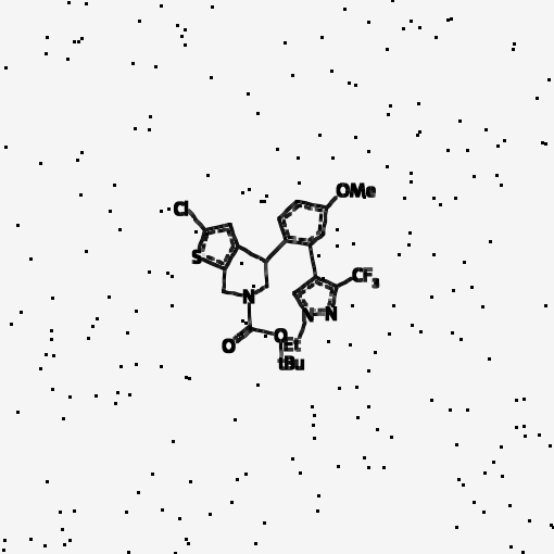 CCn1cc(-c2cc(OC)ccc2C2CN(C(=O)OC(C)(C)C)Cc3sc(Cl)cc32)c(C(F)(F)F)n1